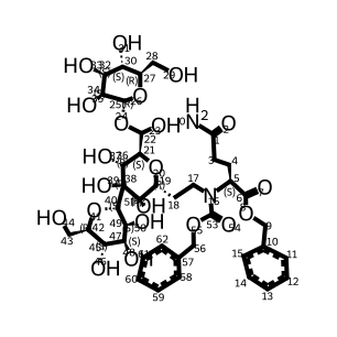 NC(=O)CC[C@@H](C(=O)OCc1ccccc1)N(CC[C@H]1O[C@H](C(O)O[C@H]2O[C@H](CO)[C@@H](O)[C@H](O)[C@@H]2O)[C@@H](O)[C@@](O)([C@H]2O[C@H](CO)[C@@H](O)[C@H](O)[C@@H]2O)[C@@H]1O)C(=O)OCc1ccccc1